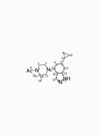 CC(=O)N1CCN(c2cc(C3CC3)cc3[nH]ncc23)CC1(C)C